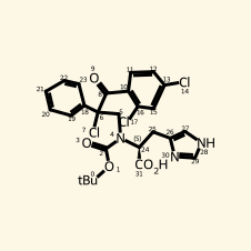 CC(C)(C)OC(=O)N(CC(Cl)(C(=O)c1ccc(Cl)cc1Cl)c1ccccc1)[C@@H](Cc1c[nH]cn1)C(=O)O